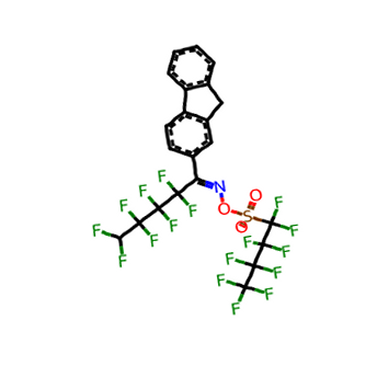 O=S(=O)(ON=C(c1ccc2c(c1)Cc1ccccc1-2)C(F)(F)C(F)(F)C(F)(F)C(F)F)C(F)(F)C(F)(F)C(F)(F)C(F)(F)F